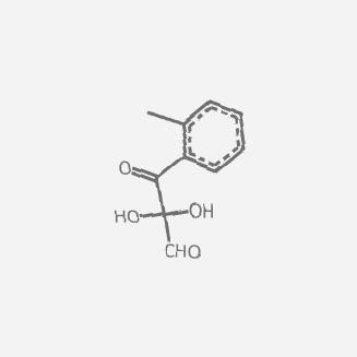 Cc1ccccc1C(=O)C(O)(O)C=O